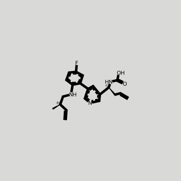 C=CC[C@H](NC(=O)O)c1cncc(-c2cc(F)ccc2NC[C@H](C)C=C)c1